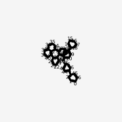 c1ccc(-c2ccc(N(c3ccc(-c4ccccc4)cc3)c3cccc4c3-c3ccccc3-c3cccc5cccc-4c35)cc2)cc1